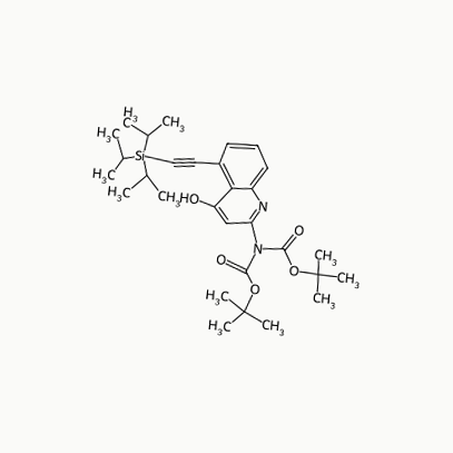 CC(C)[Si](C#Cc1cccc2nc(N(C(=O)OC(C)(C)C)C(=O)OC(C)(C)C)cc(O)c12)(C(C)C)C(C)C